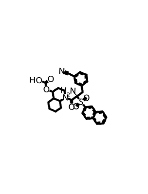 N#Cc1cccc(C[C@](N)(C(=O)N2CCC(OC(=O)O)C3CCCCC32)S(=O)(=O)c2ccc3ccccc3c2)c1